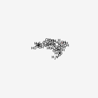 C/C(=C/O)OP(=O)(O)OC(C)COC1OC(CO)C(OC(O)C(O)C(O)C(O)C(C)COC2OC(CO)C(O)C(O)C2OC2OC(COP(=O)(O)OCCN)C(O)C(O)C2OC2OC(CO)C(O)C(O)C2O)C(O)C1N